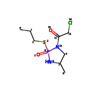 CCCSP1(=O)NC(C)CN1C(=O)CCl